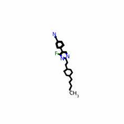 CCCCCC1CCC(CCc2ncc(-c3ccc(C#N)cc3)c(F)n2)CC1